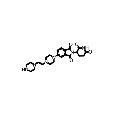 O=C1CCC(N2C(=O)c3ccc(N4CCN(CCN5CCNCC5)CC4)cc3C2=O)C(=O)N1